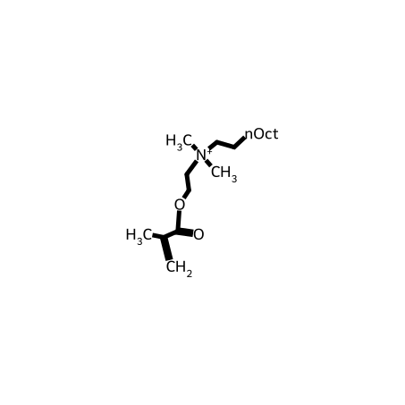 C=C(C)C(=O)OCC[N+](C)(C)CCCCCCCCCC